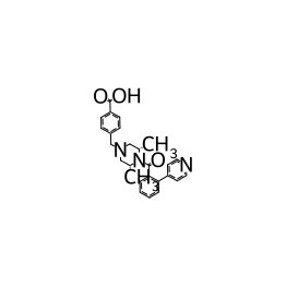 C[C@@H]1CN(Cc2ccc(C(=O)O)cc2)C[C@H](C)N1C(=O)c1ccccc1-c1ccncc1